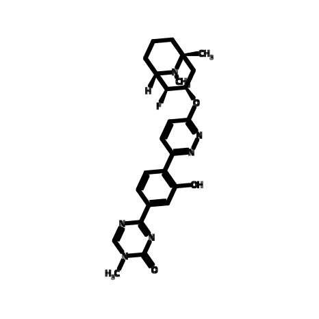 CN1[C@H]2CCC[C@]1(C)C[C@@H](Oc1ccc(-c3ccc(-c4ncn(C)c(=O)n4)cc3O)nn1)[C@H]2F